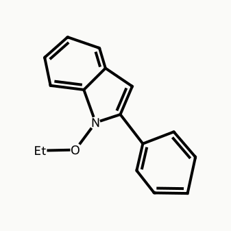 CCOn1c(-c2ccccc2)cc2ccccc21